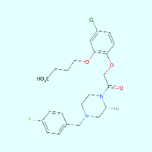 C[C@@H]1CN(Cc2ccc(F)cc2)CCN1C(=O)COc1ccc(Cl)cc1OCCCC(=O)O